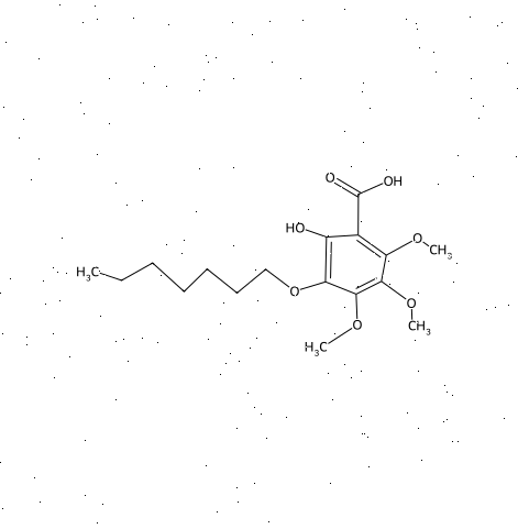 CCCCCCCOc1c(O)c(C(=O)O)c(OC)c(OC)c1OC